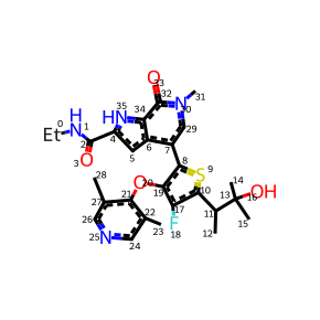 CCNC(=O)c1cc2c(-c3sc(C(C)C(C)(C)O)c(F)c3Oc3c(C)cncc3C)cn(C)c(=O)c2[nH]1